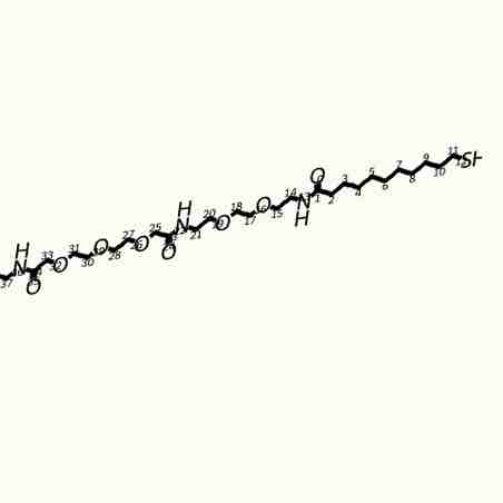 O=C(CCCCCCCCCCS)NCCOCCOCCNC(=O)COCCOCCOCC(=O)NCCO